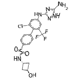 Nc1nc(Nc2cc(Cl)c(-c3ccc(S(=O)(=O)N[C@H]4C[C@H](O)C4)cc3)c(C(F)(F)F)c2)n[nH]1